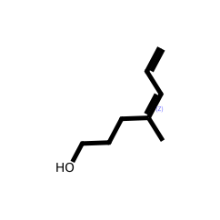 C=C/C=C(/C)CCCO